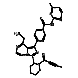 CC#CC(=O)N1CCCCC1c1nc(-c2ccc(C(=O)Nc3nccc(C)n3)cc2)c2c(CN)nccn12